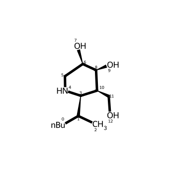 CCCCC(C)[C@H]1NC[C@@H](O)[C@@H](O)[C@H]1CO